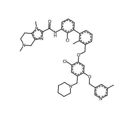 Cc1cncc(COc2cc(OCc3cccc(-c4cccc(NC(=O)c5nc6c(n5C)CCN(C)C6)c4Cl)c3C)c(Cl)cc2CN2CCCCC2)c1